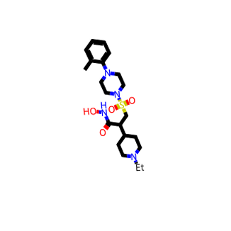 CCN1CCC(C(CS(=O)(=O)N2CCN(c3ccccc3C)CC2)C(=O)NO)CC1